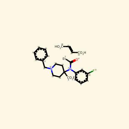 CCOC(=O)C1(N(C(=O)CC)c2cccc(F)c2)CCN(Cc2ccccc2)CC1.O=C(O)C=CC(=O)O